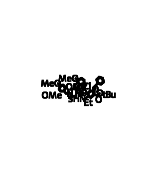 CC[C@@H](NC(=O)N1CC(=S)N(Cc2c(OC)cc(OC)cc2OC)C[C@@H](Cc2cc(Cl)ccc2OC)C1=O)c1ccc(OCc2ccccc2)c(C(=O)OC(C)(C)C)c1